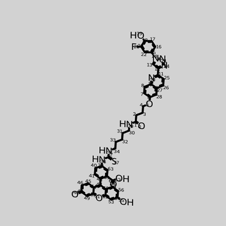 O=C(CCCOc1ccc2nc(-c3cn(-c4ccc(O)c(F)c4)nn3)ccc2c1)NCCCCCNC(=S)Nc1ccc(-c2c3ccc(=O)cc-3oc3cc(O)ccc23)c(C(=O)O)c1